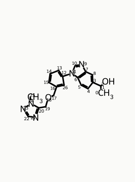 CC(O)c1ccc2c(c1)ncn2-c1cccc(COCc2ncnn2C)c1